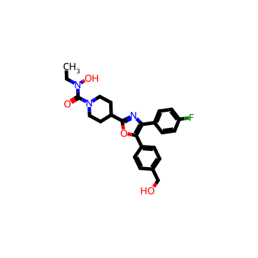 CCN(O)C(=O)N1CCC(c2nc(-c3ccc(F)cc3)c(-c3ccc(CO)cc3)o2)CC1